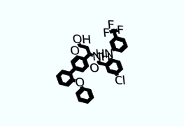 O=C(O)CC(NC(=O)c1cc(Cl)ccc1Nc1cccc(C(F)(F)F)c1)c1ccc(-c2ccccc2Oc2ccccc2)cc1